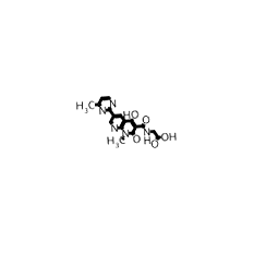 Cc1ccnc(-c2cnc3c(c2)c(O)c(C(=O)NCC(=O)O)c(=O)n3C)n1